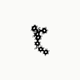 CN(c1ccc(-c2ccccc2)cc1)c1ccc(-c2ccc3c(c2)C(C)(C)c2c(-c4ccccc4)sc(-c4ccccc4)c2-3)cc1